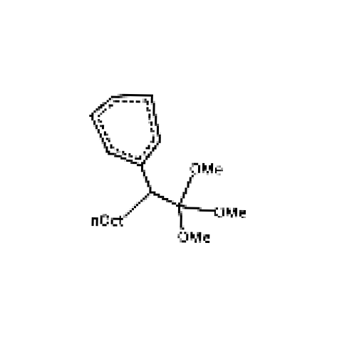 CCCCCCCCC(c1ccccc1)C(OC)(OC)OC